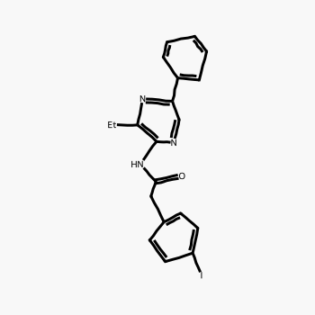 CCc1nc(-c2ccccc2)cnc1NC(=O)Cc1ccc(I)cc1